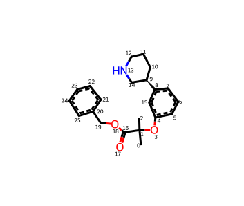 CC(C)(Oc1cccc([C@@H]2CCCNC2)c1)C(=O)OCc1ccccc1